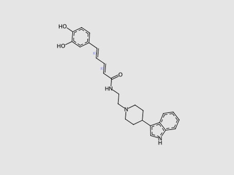 O=C(/C=C/C=C/c1ccc(O)c(O)c1)NCCN1CCC(c2c[nH]c3ccccc23)CC1